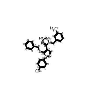 Cc1cccc(CN2NNN=C2c2cnn(-c3ccc(Cl)cc3)c2SCc2ccccc2)c1